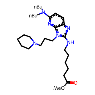 CCCCN(CCCC)c1ccc2nc(NCCCCCC(=O)OC)n(CCCN3CCCCC3)c2n1